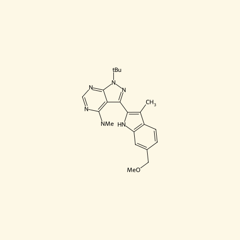 CNc1ncnc2c1c(-c1[nH]c3cc(COC)ccc3c1C)nn2C(C)(C)C